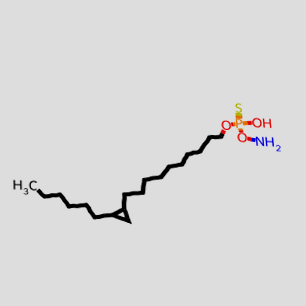 CCCCCCC1CC1CCCCCCCCCCOP(O)(=S)ON